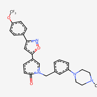 CN1CCN(c2cccc(Cn3cc(-c4cc(-c5ccc(OC(F)(F)F)cc5)no4)ccc3=O)c2)CC1